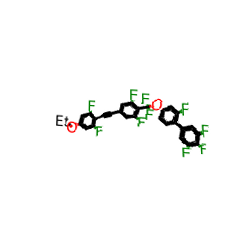 CCOc1cc(F)c(C#Cc2cc(F)c(C(F)(F)Oc3ccc(-c4cc(F)c(F)c(F)c4)c(F)c3)c(F)c2)c(F)c1